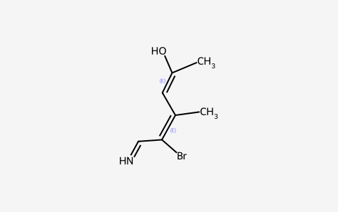 C/C(O)=C\C(C)=C(\Br)C=N